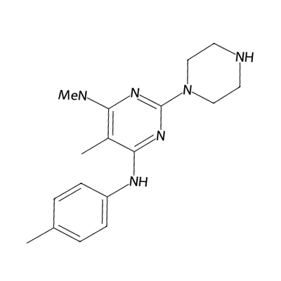 CNc1nc(N2CCNCC2)nc(Nc2ccc(C)cc2)c1C